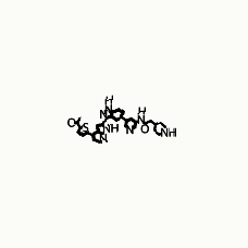 CC(=O)c1ccc(-c2ccnc3[nH]c(-c4n[nH]c5ccc(-c6cncc(NC(=O)CC7CCNCC7)c6)cc45)cc23)s1